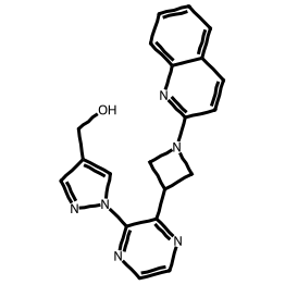 OCc1cnn(-c2nccnc2C2CN(c3ccc4ccccc4n3)C2)c1